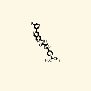 CC(C)N1CCC(c2nc(C(=O)Nc3cc4cc(-c5cncc(F)c5)ncc4cn3)co2)CC1